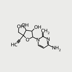 C#CC1(CO)OC(N2C=CC(N)=NC2=C)C(O)C1O